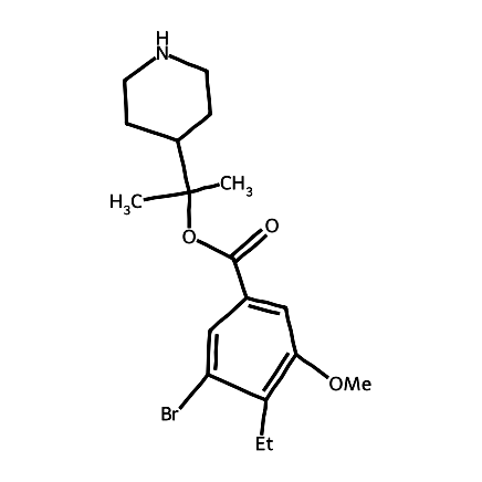 CCc1c(Br)cc(C(=O)OC(C)(C)C2CCNCC2)cc1OC